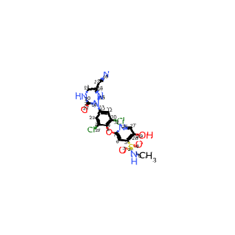 CNS(=O)(=O)c1cc(Oc2c(Cl)cc(N3N=C(C#N)CNC3=O)cc2Cl)ncc1O